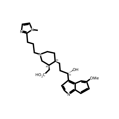 COc1ccc2nccc([C@@H](O)CC[C@@H]3CCN(CCCc4nccn4C)C[C@@H]3CC(=O)O)c2c1